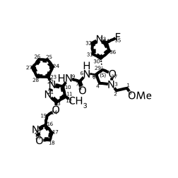 COCCN1C[C@@H](NC(=O)Nc2c(C)c(OCc3ccon3)nn2-c2ccccc2)[C@H](c2ccnc(F)c2)O1